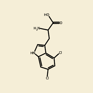 NC(Cc1c[nH]c2cc(Cl)cc(Cl)c12)C(=O)O